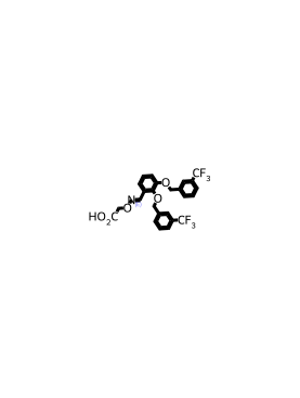 O=C(O)CO/N=C/c1cccc(OCc2cccc(C(F)(F)F)c2)c1OCc1cccc(C(F)(F)F)c1